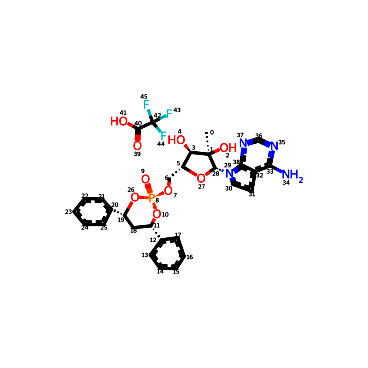 C[C@@]1(O)[C@H](O)[C@@H](CO[P@@]2(=O)O[C@H](c3ccccc3)C[C@H](c3ccccc3)O2)O[C@H]1n1ccc2c(N)ncnc21.O=C(O)C(F)(F)F